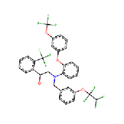 OC(CN(Cc1cccc(OC(F)(F)C(F)F)c1)c1ccccc1Oc1cccc(OC(F)(F)F)c1)c1ccccc1C(F)(F)F